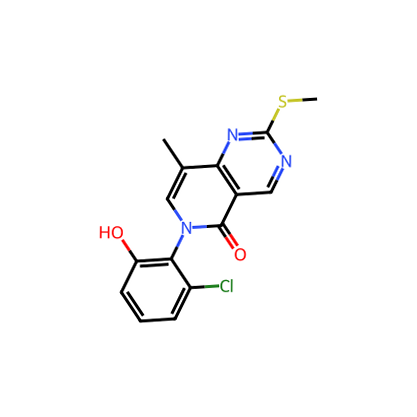 CSc1ncc2c(=O)n(-c3c(O)cccc3Cl)cc(C)c2n1